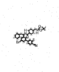 CC(C)(C)OC(=O)NCC1CCC(C(=O)NC(Cc2ccccc2)c2cc(Br)cc(-c3ccc(C#N)c(F)c3)c2)CC1